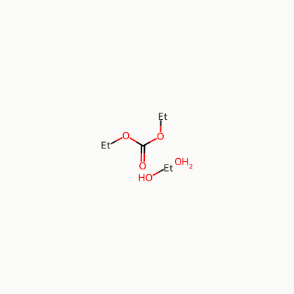 CCO.CCOC(=O)OCC.O